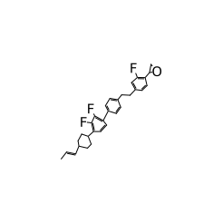 C/C=C/C1CCC(c2ccc(-c3ccc(CCc4ccc(C5CO5)c(F)c4)cc3)c(F)c2F)CC1